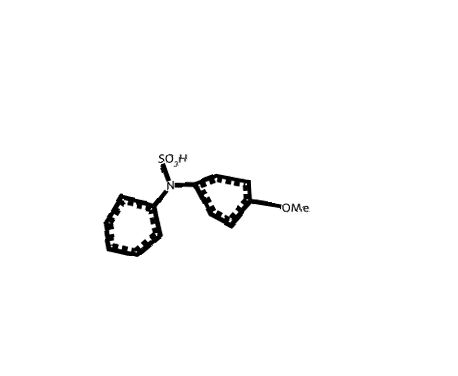 COc1ccc(N(c2ccccc2)S(=O)(=O)O)cc1